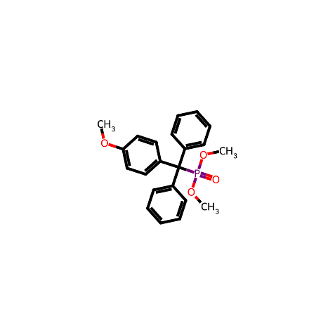 COc1ccc(C(c2ccccc2)(c2ccccc2)P(=O)(OC)OC)cc1